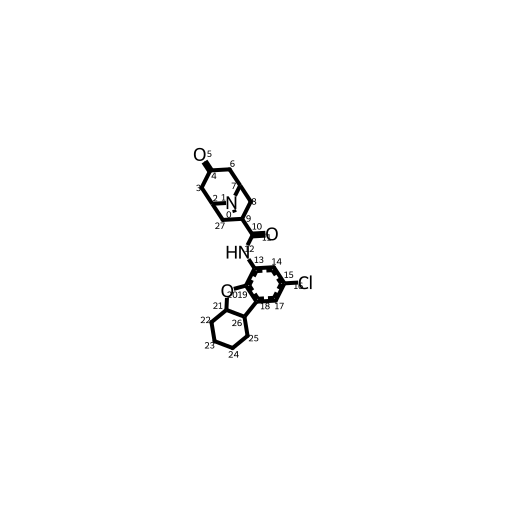 CN1C2CC(=O)CC1CC(C(=O)Nc1cc(Cl)cc3c1OC1CCCCC31)C2